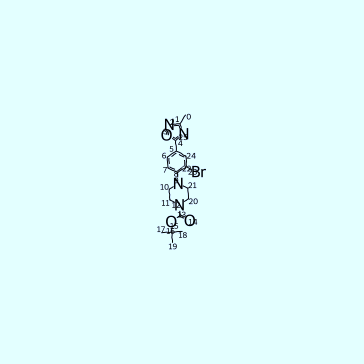 Cc1noc(-c2ccc(N3CCN(C(=O)OC(C)(C)C)CC3)c(Br)c2)n1